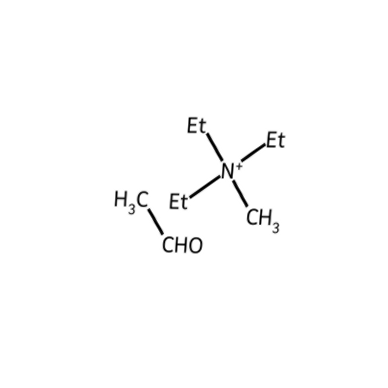 CC=O.CC[N+](C)(CC)CC